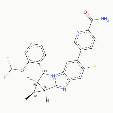 C[C@@H]1[C@@H]2c3nc4cc(F)c(-c5ccc(C(N)=O)nc5)cc4n3[C@@H](c3ccccc3OC(F)F)[C@H]12